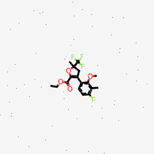 CCOC(=O)C1=C(c2ccc(F)c(C)c2OC)CC(C)(C(F)(F)F)O1